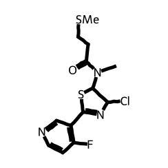 CSCCC(=O)N(C)C1SC(c2cnccc2F)=NC1Cl